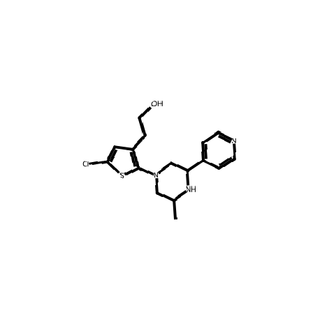 CC1CN(c2sc(Cl)cc2CCO)CC(c2ccncc2)N1